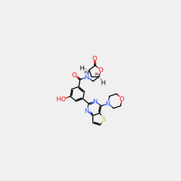 O=C1O[C@@H]2C[C@H]1N(C(=O)c1cc(O)cc(-c3nc(N4CCOCC4)c4sccc4n3)c1)C2